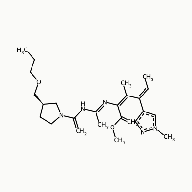 C=C(OC)C(/N=C(\C)NC(=C)N1CC[C@@H](COCCC)C1)=C(C)\C(=C/C)c1cnn(C)c1